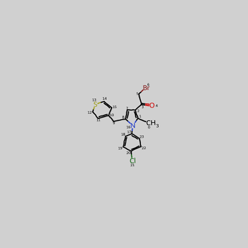 Cc1c(C(=O)CBr)cc(CC2=CCSC=C2)n1-c1ccc(Cl)cc1